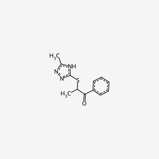 Cc1nnc(SC(C)C(=O)c2ccccc2)[nH]1